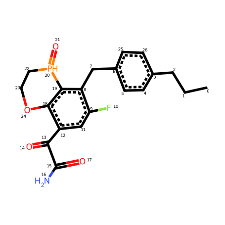 CCCc1ccc(Cc2c(F)cc(C(=O)C(N)=O)c3c2[PH](=O)CCO3)cc1